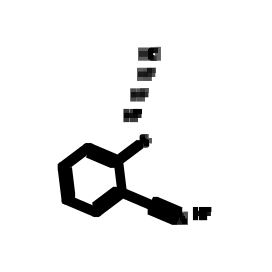 Cl.F.F.F.F.N#Cc1ccccc1[S]